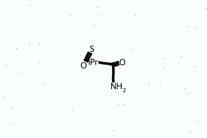 CC(C)C(N)=O.O=S